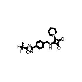 O=c1c(NCc2ccc(-c3noc(C(F)(F)F)n3)cc2)c(N2CCCCC2)c1=O